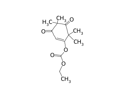 CCOC(=O)OC1=CC(=O)C(C)(C)C(=O)C1(C)C